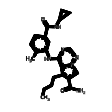 CCCCc1c(C(N)=O)cn2ncnc(Nc3cc(C(=O)NC4CC4)ccc3C)c12